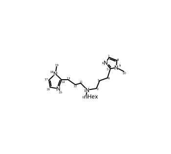 CCCCCCN(CCCc1nccn1C)CCCc1nccn1C